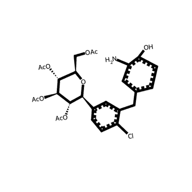 CC(=O)OC[C@H]1O[C@@H](c2ccc(Cl)c(Cc3ccc(O)c(N)c3)c2)[C@H](OC(C)=O)[C@@H](OC(C)=O)[C@@H]1OC(C)=O